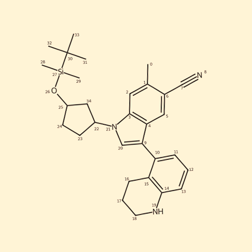 Cc1cc2c(cc1C#N)c(-c1cccc3c1CCCN3)cn2C1CCC(O[Si](C)(C)C(C)(C)C)C1